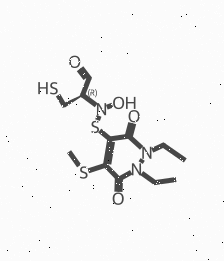 CCn1c(=O)c(SC)c(SN(O)[C@H](C=O)CS)c(=O)n1CC